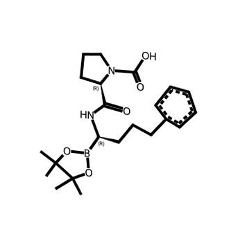 CC1(C)OB([C@H](CCCc2ccccc2)NC(=O)[C@H]2CCCN2C(=O)O)OC1(C)C